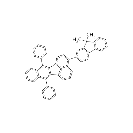 CC1(C)c2ccccc2-c2ccc(-c3ccc4c5c(cccc35)-c3c-4c(-c4ccccc4)c4ccccc4c3-c3ccccc3)cc21